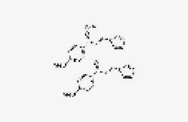 COc1ccc(C(=O)/C=C/[c-]2cccc2)cc1.COc1ccc(C(=O)/C=C/[c-]2cccc2)cc1.[Fe+2]